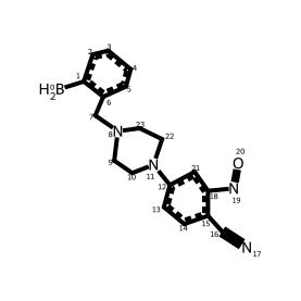 Bc1ccccc1CN1CCN(c2ccc(C#N)c(N=O)c2)CC1